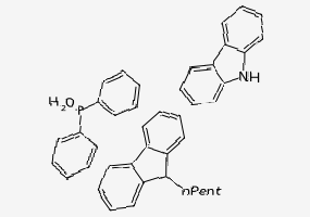 CCCCCC1c2ccccc2-c2ccccc21.O.c1ccc([P]c2ccccc2)cc1.c1ccc2c(c1)[nH]c1ccccc12